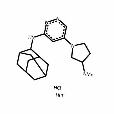 CNC1CCN(c2cnnc(NC3C4CC5CC(C4)CC3C5)c2)C1.Cl.Cl